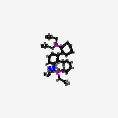 CCP(CC)c1ccccc1-c1cccc(N)c1-c1ccccc1P(CC)CC